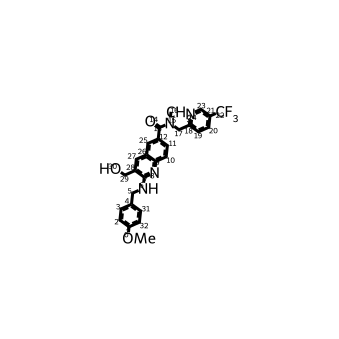 COc1ccc(CNc2nc3ccc(C(=O)N(C)Cc4ccc(C(F)(F)F)cn4)cc3cc2CO)cc1